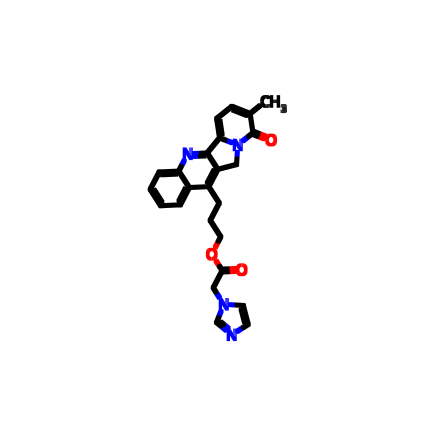 Cc1ccc2n(c1=O)Cc1c-2nc2ccccc2c1CCCOC(=O)Cn1ccnc1